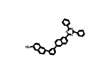 CC(C)(C)c1ccc2cc(-c3cccc(-c4ccc5cc(-c6nc(-c7ccccc7)nc(-c7ccccc7)n6)ccc5c4)c3)ccc2c1